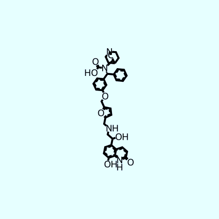 O=C(O)N(C1CN2CCC1CC2)[C@@H](c1ccccc1)c1cccc(OCc2ccc(CNCC(O)c3ccc(O)c4[nH]c(=O)ccc34)o2)c1